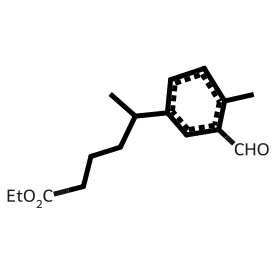 CCOC(=O)CCCC(C)c1ccc(C)c(C=O)c1